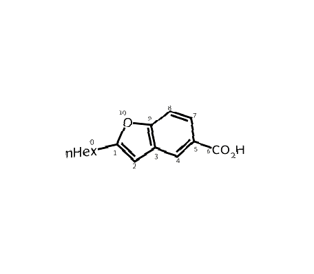 CCCCCCc1cc2cc(C(=O)O)ccc2o1